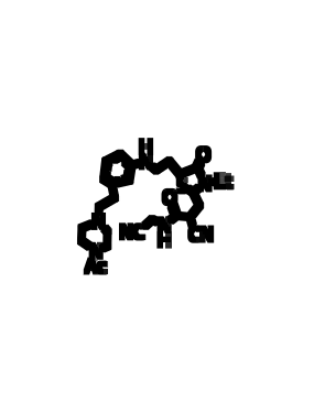 CCN1C(=O)C(CCNc2cccc(CCN3CCN(C(C)=O)CC3)c2)SC1CC(C#N)C(=O)NCC#N